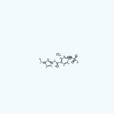 CCn1cc[n+](CC(=O)c2ccc(NS(C)(=O)=O)cc2)c1.[Cl-]